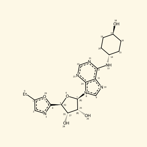 CCc1cnc([C@H]2O[C@@H](n3cnc4c(N[C@H]5CC[C@H](O)CC5)ncnc43)[C@H](O)[C@@H]2O)o1